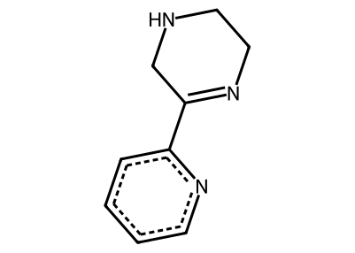 c1ccc(C2=NCCNC2)nc1